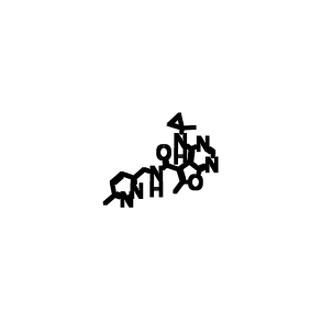 Cc1ccc(CNC(=O)c2c(C)oc3ncnc(NC4(C)CC4)c23)nn1